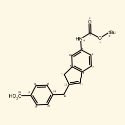 CC(C)(C)OC(=O)Nc1ccc2c(c1)CC(Cc1ccc(C(=O)O)cc1)=C2